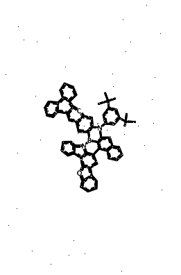 CC(C)(C)c1cc(N2c3cc4cc5c6ccccc6c6ccccc6c5cc4cc3B3c4c2cc2ccccc2c4-c2cc4c5ccccc5oc4c4c5ccccc5n3c24)cc(C(C)(C)C)c1